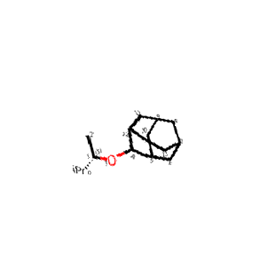 CC(C)[C@H](C)OC1C2CC3CC(C2)CC1C3